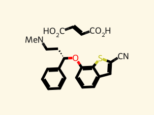 CNCC[C@H](Oc1cccc2cc(C#N)sc12)c1ccccc1.O=C(O)C=CC(=O)O